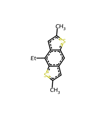 CCc1c2cc(C)sc2cc2cc(C)sc12